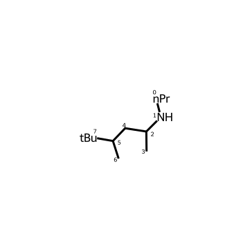 CCCNC(C)CC(C)C(C)(C)C